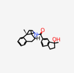 CC1(O)CCc2ccc(C(=O)N3CC[C@@]4(C)c5ccccc5C[C@@H]3C4(C)C)cc21